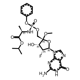 CO[C@]1(COP(=O)(N[C@H](C)C(=O)OC(C)C)Oc2ccccc2)O[C@@H](n2cnc3c(=O)[nH]c(N)nc32)[C@H](F)[C@@H]1O